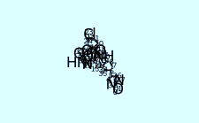 COc1ncc(-c2ccc(F)c(C(C)C(NS(=O)(=O)c3ccc(Cl)cc3OC)c3n[nH]c(=O)o3)c2C)cn1